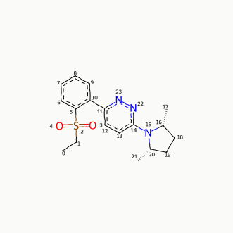 CCS(=O)(=O)c1ccccc1-c1ccc(N2[C@H](C)CC[C@@H]2C)nn1